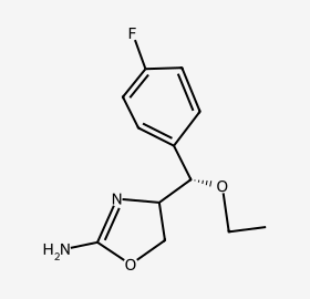 CCO[C@@H](c1ccc(F)cc1)C1COC(N)=N1